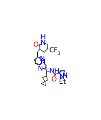 CCn1nccc1C(=O)N[C@H](c1cn2nc(CC3C[C@@H](C(F)(F)F)CNC3=O)ccc2n1)C1CC2(CC2)C1